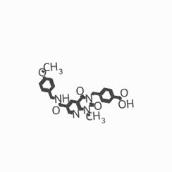 COc1ccc(CNC(=O)c2cnc3c(c2)c(=O)n(Cc2ccc(C(=O)O)cc2)c(=O)n3C)cc1